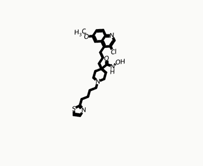 COc1ccc2ncc(Cl)c(CCCC3(C(=O)NO)CCN(CCCCc4nccs4)CC3)c2c1